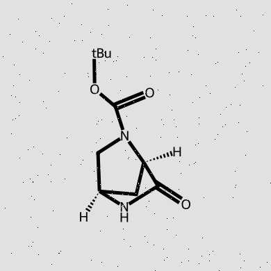 CC(C)(C)OC(=O)N1C[C@H]2C[C@@H]1C(=O)N2